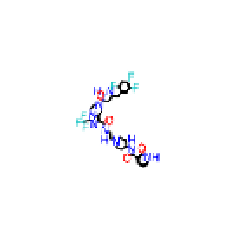 NC(CC(=O)N1CCn2c(C(F)(F)F)nc(C(=O)NCCN3CCC(NC(=O)c4ccc[nH]c4=O)CC3)c2C1)Cc1cc(F)c(F)cc1F